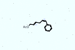 CC(=O)OC/C=C/C/C=C\c1ccccc1